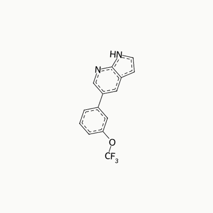 FC(F)(F)Oc1cccc(-c2cnc3[nH]ccc3c2)c1